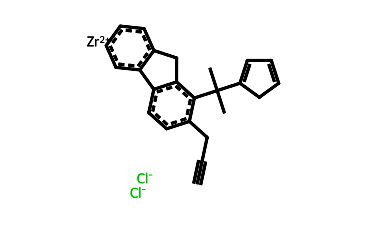 C#CCc1ccc2c(c1C(C)(C)C1=CC=CC1)Cc1ccccc1-2.[Cl-].[Cl-].[Zr+2]